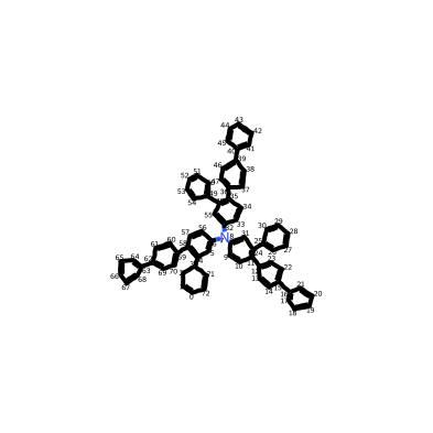 C1=CCC(c2cc(N(c3ccc(-c4ccc(-c5ccccc5)cc4)c(-c4ccccc4)c3)c3ccc(-c4ccc(-c5ccccc5)cc4)c(-c4ccccc4)c3)ccc2-c2ccc(-c3ccccc3)cc2)C=C1